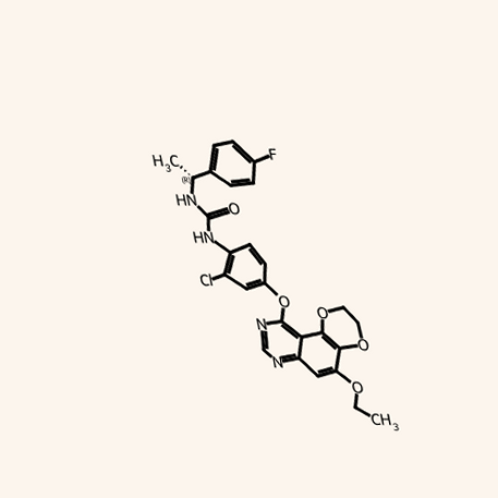 CCOc1cc2ncnc(Oc3ccc(NC(=O)N[C@H](C)c4ccc(F)cc4)c(Cl)c3)c2c2c1OCCO2